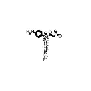 Nc1ccc(S(=O)(=O)OC(=O)CP(=O)=O)cc1.[F-].[F-].[F-].[F-].[F-].[Li+].[Li+].[Li+].[Li+].[Li+]